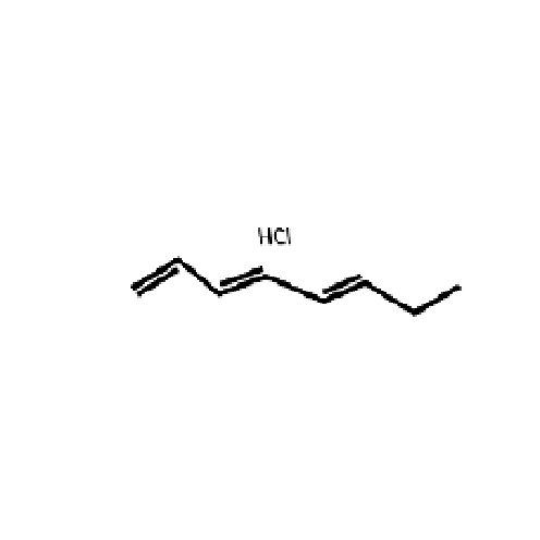 C=CC=CC=CCC.Cl